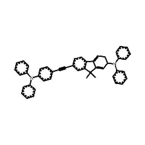 CC1(C)C2=CC(N(c3ccccc3)c3ccccc3)CC=C2c2ccc(C#Cc3ccc(N(c4ccccc4)c4ccccc4)cc3)cc21